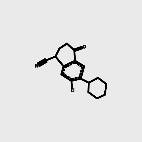 N#CC1CCC(=O)c2cc(C3CCCCC3)c(Cl)cc21